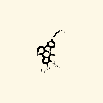 CCCOc1ccc2c(c1)c1ccnc3c4ccc(OC)c(OC)c4c(=O)n2c13